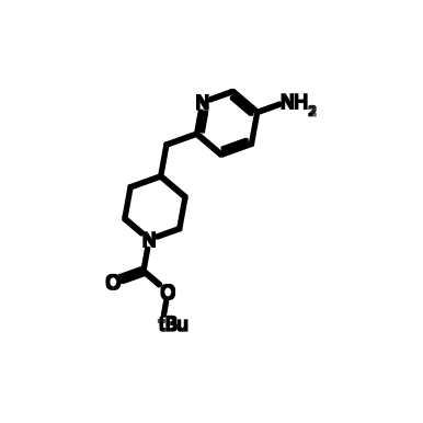 CC(C)(C)OC(=O)N1CCC(Cc2ccc(N)cn2)CC1